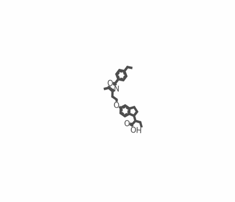 CCc1ccc(-c2nc(CCOc3ccc4c(c3)CCC4C(CC)C(=O)O)c(C)o2)cc1